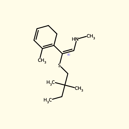 CCC(C)(C)CS/C(=C/NC)C1=C(C)C=CCC1